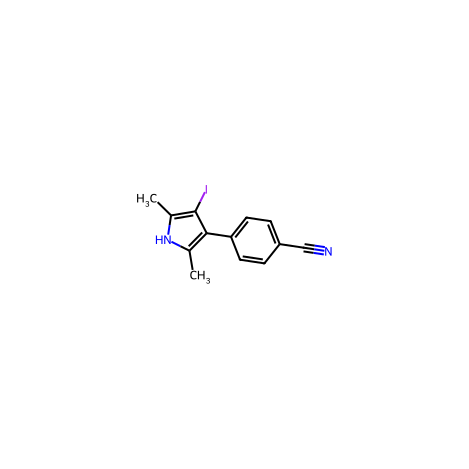 Cc1[nH]c(C)c(-c2ccc(C#N)cc2)c1I